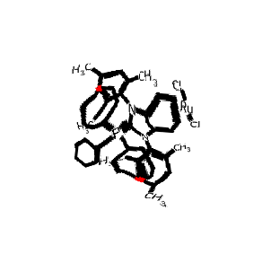 Cc1cc(C)c(-n2c(=P(C3CCCCC3)(C3CCCCC3)C3CCCCC3)n(-c3c(C)cc(C)cc3C)c3ccccc32)c(C)c1.[Cl][Ru][Cl]